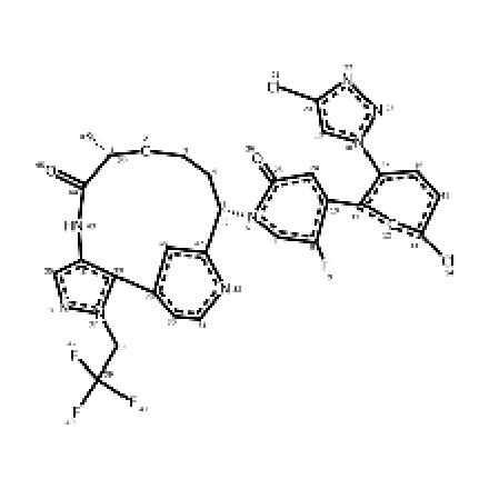 C[C@@H]1CCC[C@H](n2cc(F)c(-c3cc(Cl)ccc3-n3cc(Cl)nn3)cc2=O)c2cc(ccn2)-c2c(cnn2CC(F)(F)F)NC1=O